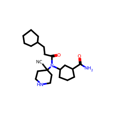 N#CC1(N(C(=O)[CH]CC2CCCCC2)C2CCCC(C(N)=O)C2)CCNCC1